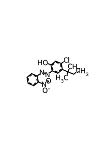 CCC(C)(C)c1cc(/N=N/c2ccccc2[N+](=O)[O-])c(O)cc1Cl